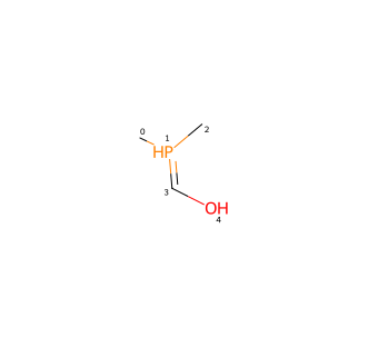 C[PH](C)=CO